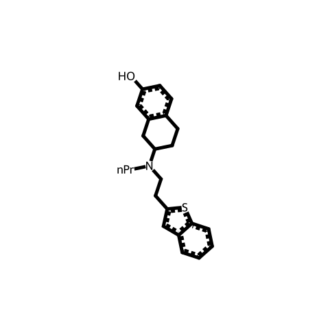 CCCN(CCc1cc2ccccc2s1)C1CCc2ccc(O)cc2C1